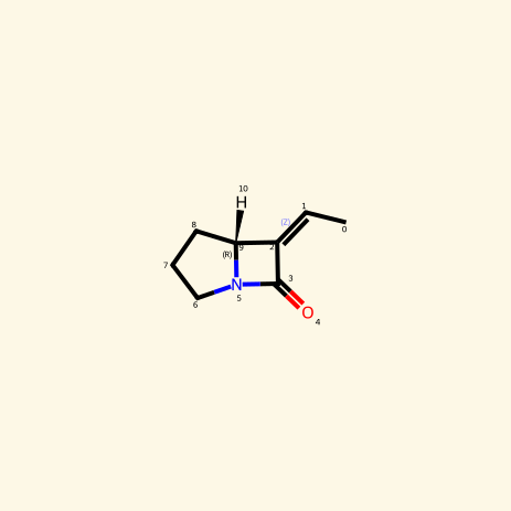 C/C=C1\C(=O)N2CCC[C@H]12